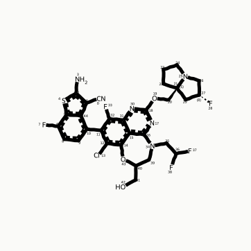 N#Cc1c(N)sc2c(F)ccc(-c3c(Cl)c4c5c(nc(OC[C@@]67CCCN6C[C@H](F)C7)nc5c3F)N(CC(F)F)CC(CO)O4)c12